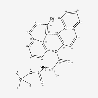 C[C@H](NC(=O)OC(C)(C)C)C(=O)Oc1ccc2ccccc2c1-c1c(O)ccc2ccccc12